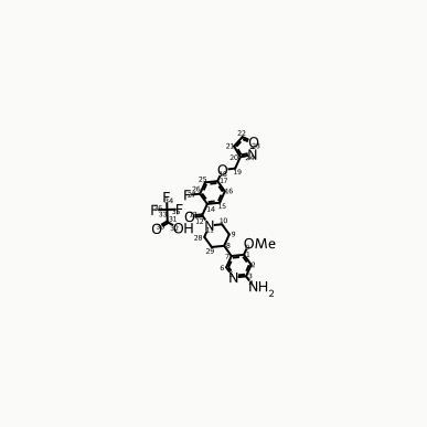 COc1cc(N)ncc1C1CCN(C(=O)c2ccc(OCc3ccon3)cc2F)CC1.O=C(O)C(F)(F)F